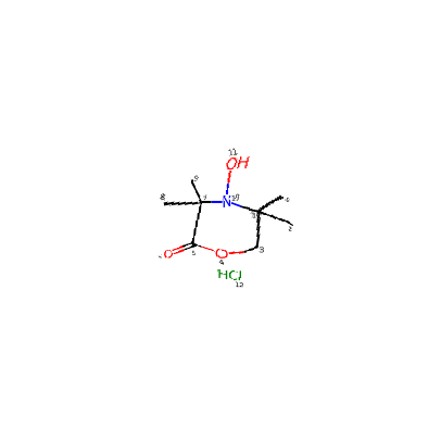 CC1(C)COC(=O)C(C)(C)N1O.Cl